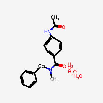 CC(=O)Nc1ccc(C(=O)[N](C)[Ge][c]2ccccc2)cc1.O.O.O